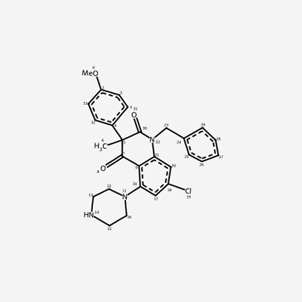 COc1ccc(C2(C)C(=O)c3c(N4CCNCC4)cc(Cl)cc3N(Cc3ccccc3)C2=O)cc1